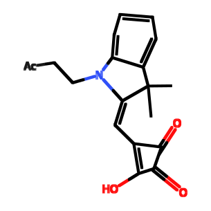 CC(=O)CCN1/C(=C/c2c(O)c(=O)c2=O)C(C)(C)c2ccccc21